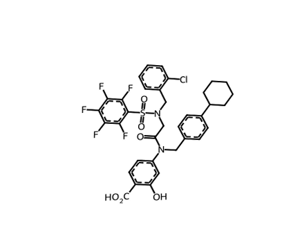 O=C(O)c1ccc(N(Cc2ccc(C3CCCCC3)cc2)C(=O)CN(Cc2ccccc2Cl)S(=O)(=O)c2c(F)c(F)c(F)c(F)c2F)cc1O